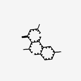 O=C(O)c1cc(=O)c2c(O)nc3ccc(F)cc3c2o1